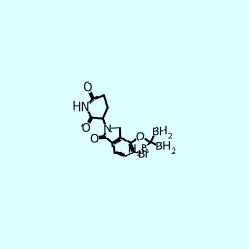 BC(B)(B)Oc1c(Br)ccc2c1CN(C1CCC(=O)NC1=O)C2=O